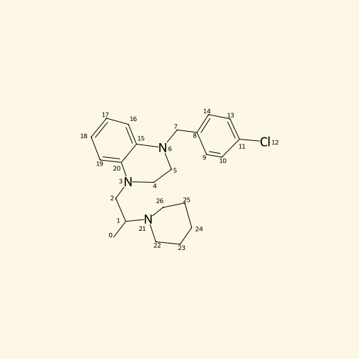 CC(CN1CCN(Cc2ccc(Cl)cc2)c2ccccc21)N1CCCCC1